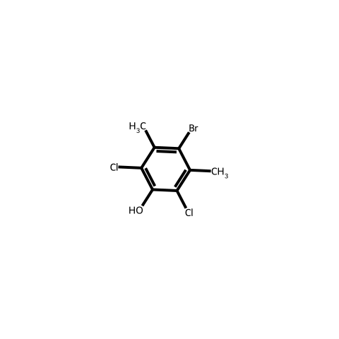 Cc1c(Cl)c(O)c(Cl)c(C)c1Br